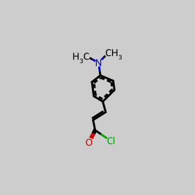 CN(C)c1ccc(/C=C/C(=O)Cl)cc1